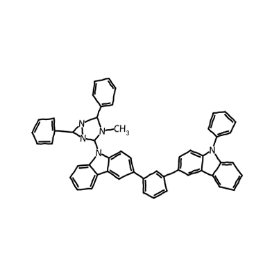 CN1C(c2ccccc2)N2C(c3ccccc3)N2C1n1c2ccccc2c2cc(-c3cccc(-c4ccc5c(c4)c4ccccc4n5-c4ccccc4)c3)ccc21